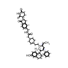 C=C(/C=C\C(=C/C)OCCN1CCN(CC(=O)NCc2ccc3c(c2)CN(C2CCC(=O)NC2=O)C3=O)CC1)[C@@H]1c2ccc(O)cc2CC[C@@H]1c1ccccc1